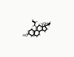 C#C[C@]1(O)CCC2C3CCC4=C(CC[C@H](O)C4)C3[C@@H](CC=C)C[C@@]21C